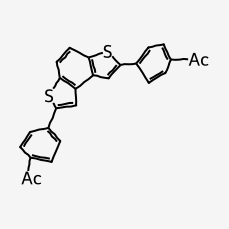 CC(=O)c1ccc(-c2cc3c(ccc4sc(-c5ccc(C(C)=O)cc5)cc43)s2)cc1